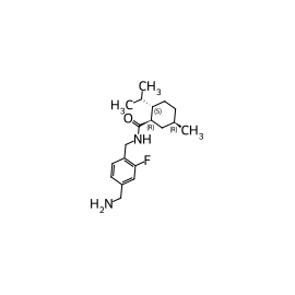 CC(C)[C@@H]1CC[C@@H](C)C[C@H]1C(=O)NCc1ccc(CN)cc1F